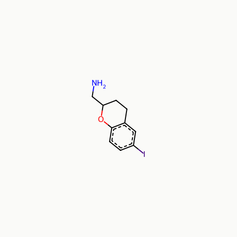 NCC1CCc2cc(I)ccc2O1